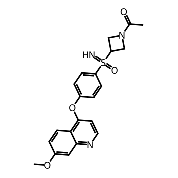 COc1ccc2c(Oc3ccc(S(=N)(=O)C4CN(C(C)=O)C4)cc3)ccnc2c1